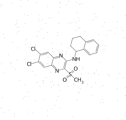 CS(=O)(=O)c1nc2cc(Cl)c(Cl)cc2nc1NC1CCCc2ccccc21